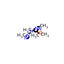 CO[C@H](C)c1cc(N(C)CCn2ccnc2C)cn2cc(C)nc12